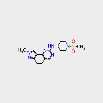 Cn1cc2c(n1)CCc1cnc(NC3CCN(S(C)(=O)=O)CC3)nc1-2